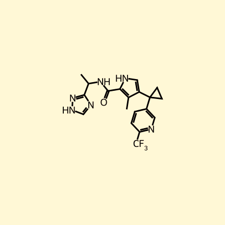 Cc1c(C2(c3ccc(C(F)(F)F)nc3)CC2)c[nH]c1C(=O)NC(C)c1nc[nH]n1